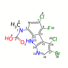 CN(C(=O)O)c1cc(Cl)c(F)c2c1[nH]c1ncc(Br)c(Cl)c12